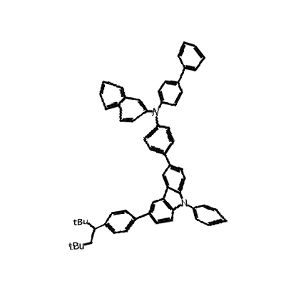 CC(C)(C)CC(c1ccc(-c2ccc3c(c2)c2cc(-c4ccc(N(c5ccc(-c6ccccc6)cc5)c5ccc6ccccc6c5)cc4)ccc2n3-c2ccccc2)cc1)C(C)(C)C